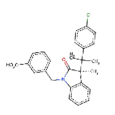 CC(C)(c1ccc(Cl)cc1)[C@]1(C)C(=O)N(Cc2cccc(C(=O)O)c2)c2ccccc21